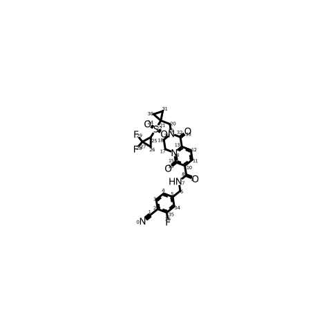 N#Cc1ccc(CNC(=O)c2ccc3n(c2=O)CCN(CC2(S(=O)(=O)C4CC4(F)F)CC2)C3=O)cc1F